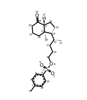 Cc1ccc(S(=O)(=O)OCCC[C@@H](C)[C@H]2CC[C@H]3C(=O)CCC[C@]23C)cc1